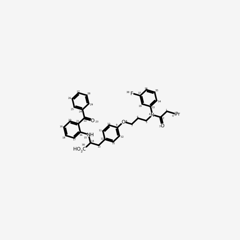 CC(C)CC(=O)N(CCCOc1ccc(CC(Nc2ccccc2C(=O)c2ccccc2)C(=O)O)cc1)c1cccc(F)c1